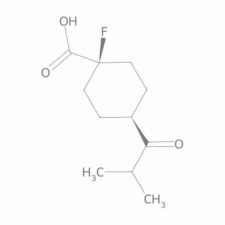 CC(C)C(=O)[C@H]1CC[C@](F)(C(=O)O)CC1